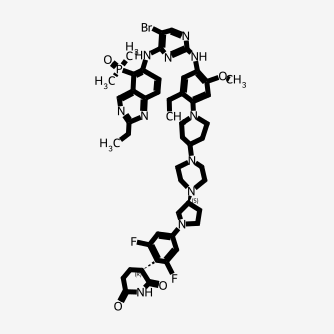 CCc1ncc2c(P(C)(C)=O)c(Nc3nc(Nc4cc(CC)c(N5CCC(N6CCN([C@H]7CCN(c8cc(F)c([C@H]9CCC(=O)NC9=O)c(F)c8)C7)CC6)CC5)cc4OC)ncc3Br)ccc2n1